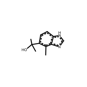 Cc1c(C(C)(C)O)ccc2[nH][c]nc12